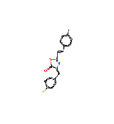 Cc1ccc(/C=C/C2=NC(=Cc3ccc(F)cc3)C(=O)O2)cc1